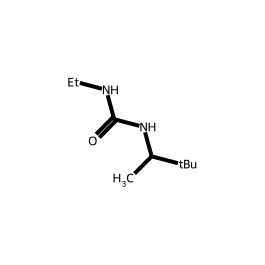 CCNC(=O)NC(C)C(C)(C)C